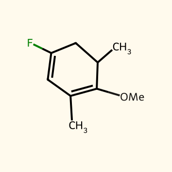 COC1=C(C)C=C(F)CC1C